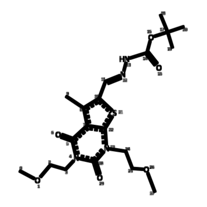 COCCn1c(=O)c2c(C)c(/C=N/NC(=O)OC(C)(C)C)sc2n(CCOC)c1=O